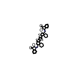 O=C1C(=O)c2ccccc2/C1=C/C1=Cc2sc3c(sc4c5c(sc43)C=C(/C=C3\C(=O)C(=O)c4ccccc43)C53CCCCC3)c2C12CCCCC2